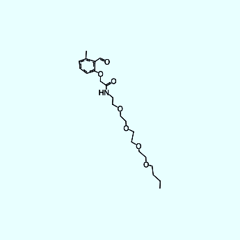 CCCCOCCOCCOCCOCCNC(=O)COc1cccc(C)c1C=O